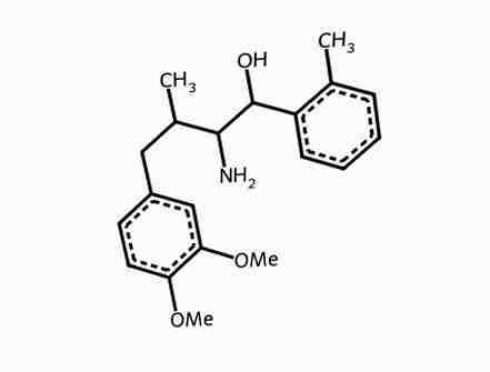 COc1ccc(CC(C)C(N)C(O)c2ccccc2C)cc1OC